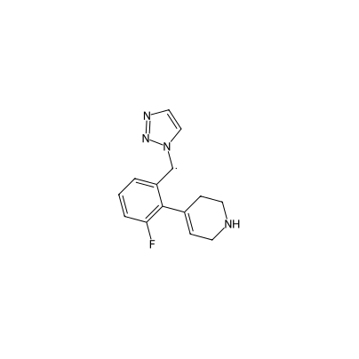 Fc1cccc([CH]n2ccnn2)c1C1=CCNCC1